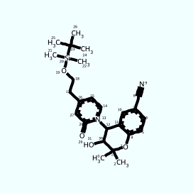 CC1(C)Oc2ccc(C#N)cc2C(n2ccc(CCO[Si](C)(C)C(C)(C)C)cc2=O)C1O